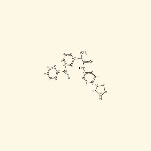 CC(C(=O)Nc1ccc(C2CCNC2)cc1)c1cccc(C(=O)c2ccccc2)c1